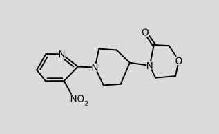 O=C1COCCN1C1CCN(c2ncccc2[N+](=O)[O-])CC1